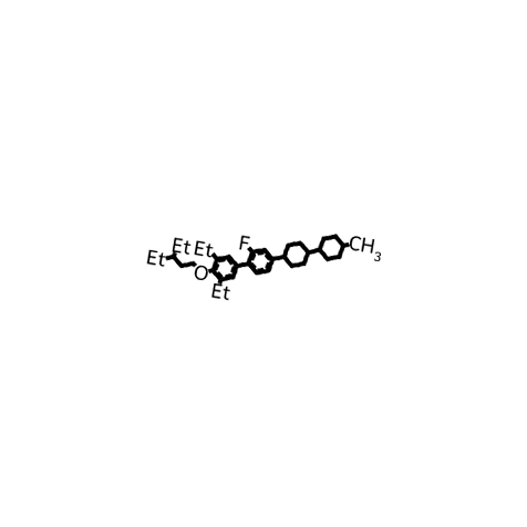 CCc1cc(-c2ccc(C3CCC(C4CCC(C)CC4)CC3)cc2F)cc(CC)c1OCCC(CC)CC